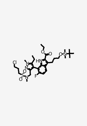 CCOC(=O)c1[nH]c2c(-c3c(CN(C)S(=O)(=O)CCCCl)nn(C)c3CC)c(F)ccc2c1CCCO[Si](C)(C)C(C)(C)C